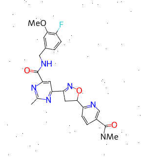 CNC(=O)c1ccc(C2CC(c3cc(C(=O)NCc4ccc(F)c(OC)c4)nc(C)n3)=NO2)nc1